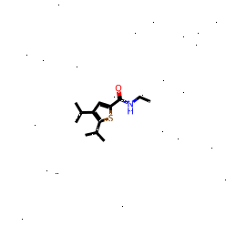 CCNC(=O)c1cc(C(C)C)c(C(C)C)s1